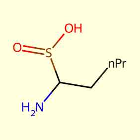 CCCCC(N)S(=O)O